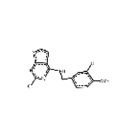 COc1ccc(CNc2nc(Cl)nc3sccc23)cc1Cl